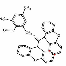 Cc1cc(C)c([C]=O)c(C)c1.O=C(C1c2ccccc2Oc2ccccc21)C1c2ccccc2Oc2ccccc21